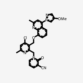 COc1cnn(-c2cc(C)nc3c(OCc4c(Cl)cc(C)nc4Cn4cccc(C#N)c4=O)cccc23)c1